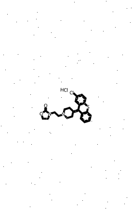 Cl.O=C1OCCN1CCN1CCC(=C2c3ccccc3Sc3ccc(Cl)cc32)CC1